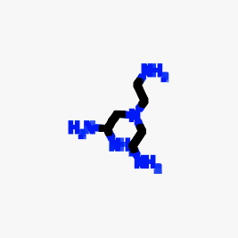 NCCN(CCN)CC(N)N